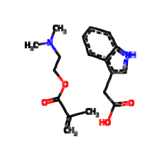 C=C(C)C(=O)OCCN(C)C.O=C(O)Cc1c[nH]c2ccccc12